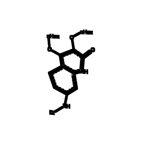 CCCCCCOc1c(OCCCCCC)c2ccc(NCC)cc2[nH]c1=O